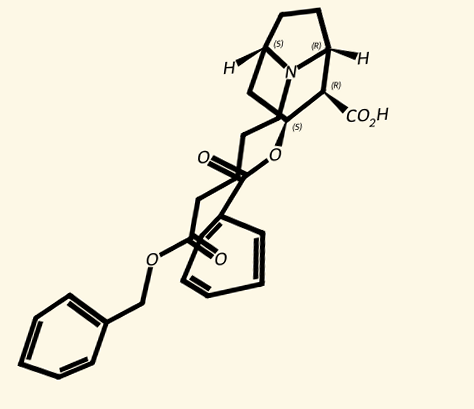 O=C(CCCCN1[C@H]2CC[C@@H]1[C@@H](C(=O)O)[C@@H](OC(=O)c1ccccc1)C2)OCc1ccccc1